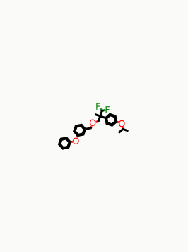 CC(C)Oc1ccc(C(C)(COCc2cccc(Oc3ccccc3)c2)C(F)F)cc1